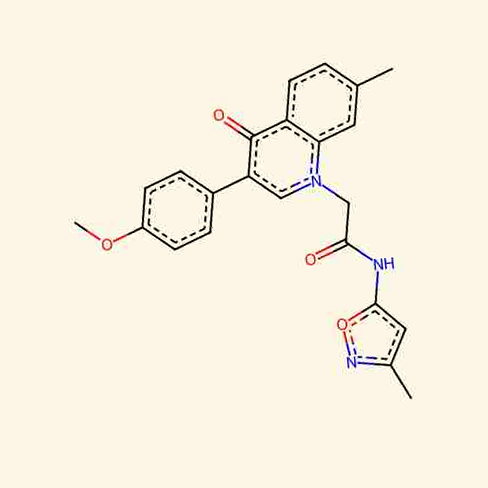 COc1ccc(-c2cn(CC(=O)Nc3cc(C)no3)c3cc(C)ccc3c2=O)cc1